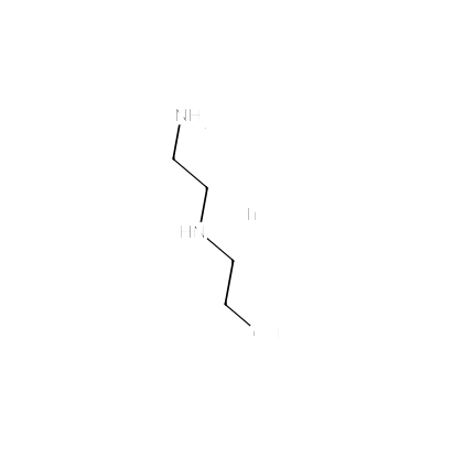 NCCNCCO.[Ti]